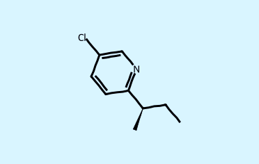 CC[C@@H](C)c1ccc(Cl)cn1